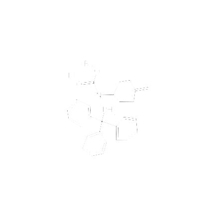 C=C1CCC(NC(=O)OC(C)(C)C)CC1.I.PC(c1ccccc1)(c1ccccc1)c1ccccc1